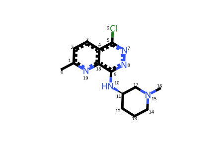 Cc1ccc2c(Cl)nnc(N[C@@H]3CCCN(C)C3)c2n1